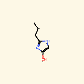 CCCc1nc(O)c[nH]1